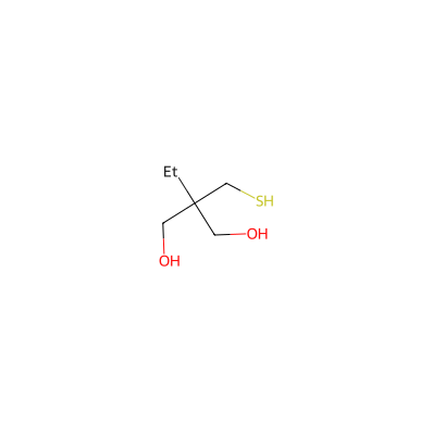 CCC(CO)(CO)CS